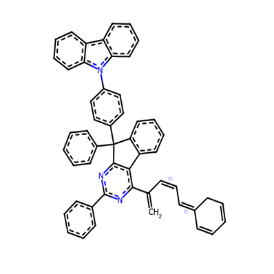 C=C(/C=C\C=C1\C=CC=CC1)c1nc(-c2ccccc2)nc2c1-c1ccccc1C2(c1ccccc1)c1ccc(-n2c3ccccc3c3ccccc32)cc1